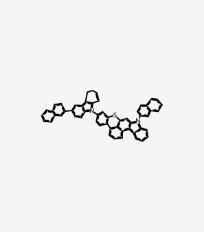 C1=Cc2c(c3cc(-c4ccc5ccccc5c4)ccc3n2-c2ccc3c(c2)Sc2cc4c(c5cccc-3c25)c2ccccc2n4-c2ccc3ccccc3c2)CC1